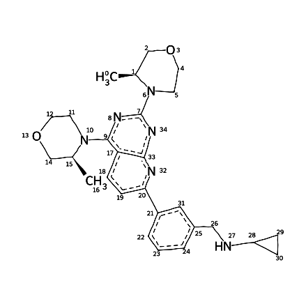 C[C@H]1COCCN1c1nc(N2CCOC[C@@H]2C)c2ccc(-c3cccc(CNC4CC4)c3)nc2n1